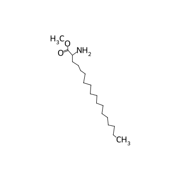 CCCCCCCCCCCCCCCCC(N)C(=O)OC